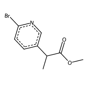 COC(=O)C(C)c1ccc(Br)nc1